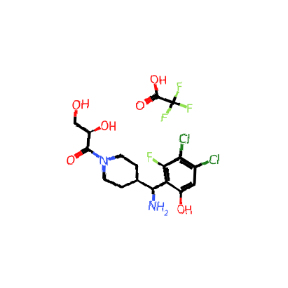 NC(c1c(O)cc(Cl)c(Cl)c1F)C1CCN(C(=O)[C@H](O)CO)CC1.O=C(O)C(F)(F)F